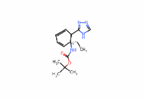 CC[C@]1(NC(=O)OC(C)(C)C)C=CC=CC1c1nnc[nH]1